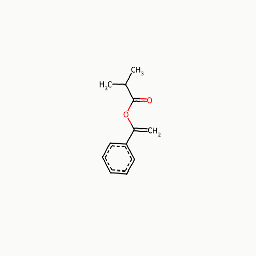 C=C(OC(=O)C(C)C)c1ccccc1